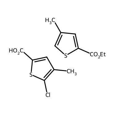 CCOC(=O)c1cc(C)cs1.Cc1cc(C(=O)O)sc1Cl